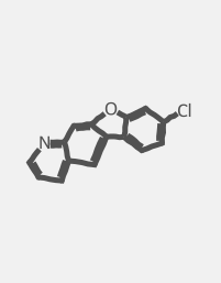 Clc1ccc2c(c1)oc1cc3ncccc3cc12